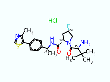 Cc1ncsc1-c1ccc([C@H](C)NC(=O)[C@@H]2C[C@H](F)CN2C(=O)[C@@H](N)C(C)(C)C)cc1.Cl